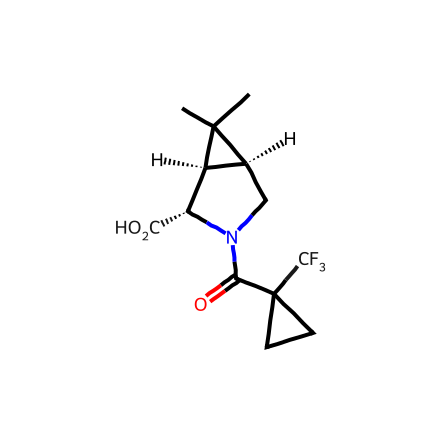 CC1(C)[C@@H]2[C@@H](C(=O)O)N(C(=O)C3(C(F)(F)F)CC3)C[C@@H]21